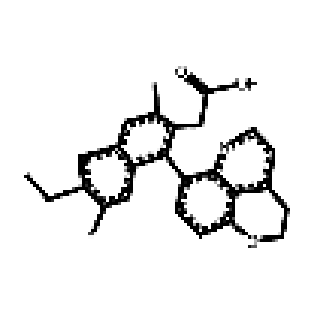 CCc1cc2cc(C)c(CC(=O)O)c(-c3ccc4c5c(ccnc35)CCO4)c2cc1F